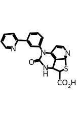 O=C(O)C1Sc2nccc3c2C1NC(=O)N3c1cccc(-c2ccccn2)c1